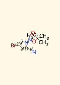 CC(C)(C)ON(C=O)n1cc(Br)cc1C#N